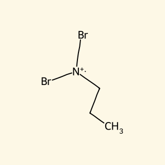 CCC[N+](Br)Br